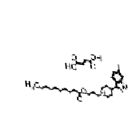 CCCCCCCCCC(=O)OCCCN1CCC(c2noc3cc(F)ccc23)CC1.O=C(O)C=CC(=O)O